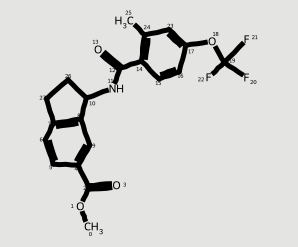 COC(=O)c1ccc2c(c1)C(NC(=O)c1ccc(OC(F)(F)F)cc1C)CC2